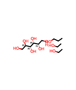 CCCO.CCO.CCO.OC[C@@H](O)[C@@H](O)[C@H](O)[C@@H](O)CO